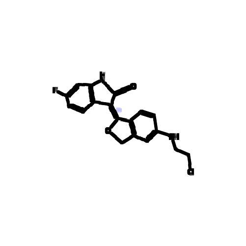 O=C1Nc2cc(F)ccc2/C1=C1\OCc2cc(NCCCl)ccc21